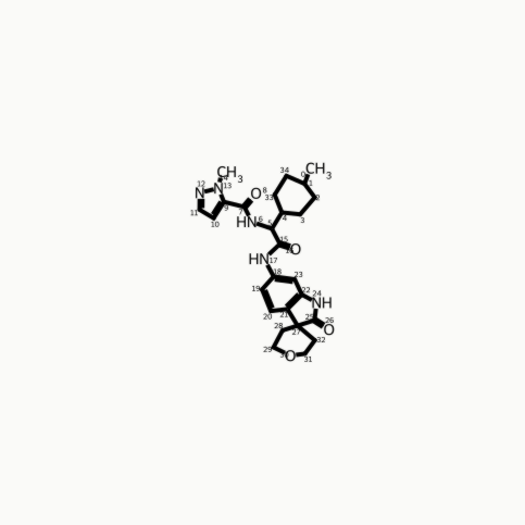 CC1CCC(C(NC(=O)c2ccnn2C)C(=O)Nc2ccc3c(c2)NC(=O)C32CCOCC2)CC1